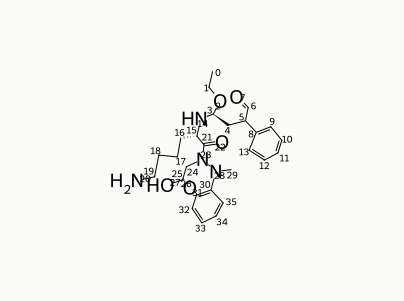 CCO[C@@H](CC(C=O)c1ccccc1)N[C@@H](CCCCN)C(=O)N(CC(=O)O)N(C)c1ccccc1